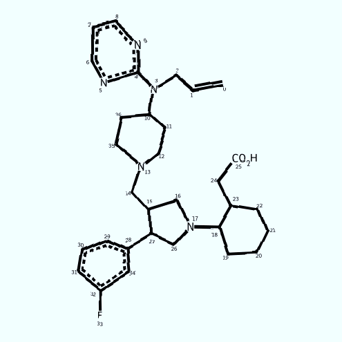 C=CCN(c1ncccn1)C1CCN(CC2CN(C3CCCCC3CC(=O)O)CC2c2cccc(F)c2)CC1